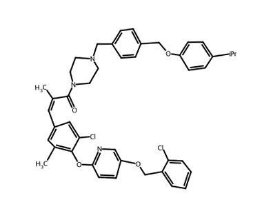 CC(=Cc1cc(C)c(Oc2ccc(OCc3ccccc3Cl)cn2)c(Cl)c1)C(=O)N1CCN(Cc2ccc(COc3ccc(C(C)C)cc3)cc2)CC1